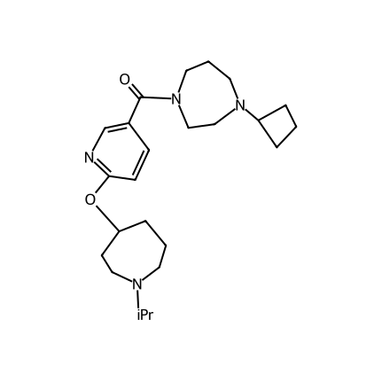 CC(C)N1CCCC(Oc2ccc(C(=O)N3CCCN(C4CCC4)CC3)cn2)CC1